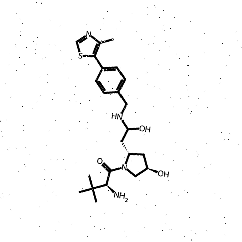 Cc1ncsc1-c1ccc(CNC(O)C[C@@H]2C[C@@H](O)CN2C(=O)[C@@H](N)C(C)(C)C)cc1